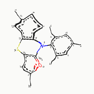 Cc1cc(C)c(N2c3ccc(C)cc3Sc3cc(C)oc32)c(C)c1